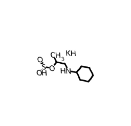 CC(CNC1CCCCC1)O[SH](=O)=O.[KH]